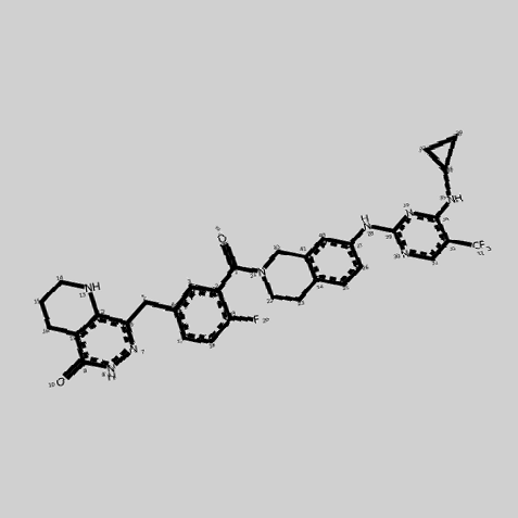 O=C(c1cc(Cc2n[nH]c(=O)c3c2NCCC3)ccc1F)N1CCc2ccc(Nc3ncc(C(F)(F)F)c(NC4CC4)n3)cc2C1